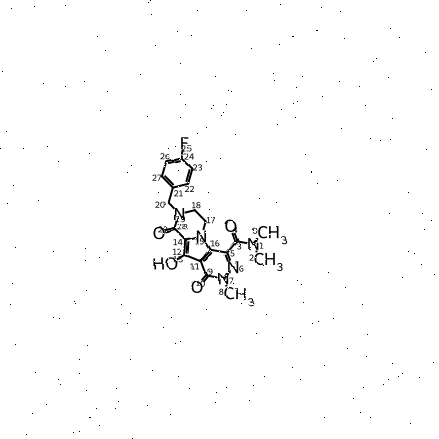 CN(C)C(=O)c1nn(C)c(=O)c2c(O)c3n(c12)CCN(Cc1ccc(F)cc1)C3=O